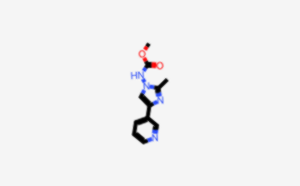 COC(=O)Nn1cc(-c2cccnc2)nc1C